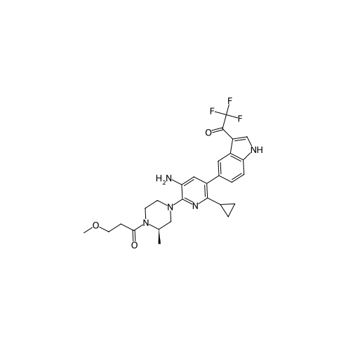 COCCC(=O)N1CCN(c2nc(C3CC3)c(-c3ccc4[nH]cc(C(=O)C(F)(F)F)c4c3)cc2N)C[C@H]1C